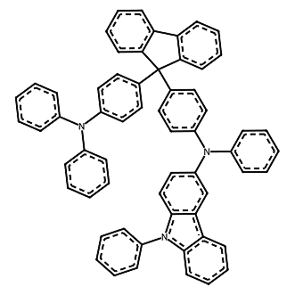 c1ccc(N(c2ccccc2)c2ccc(C3(c4ccc(N(c5ccccc5)c5ccc6c(c5)c5ccccc5n6-c5ccccc5)cc4)c4ccccc4-c4ccccc43)cc2)cc1